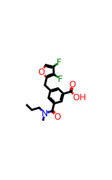 CCCN(C)C(=O)c1cc(Cc2occ(F)c2F)cc(C(=O)O)c1